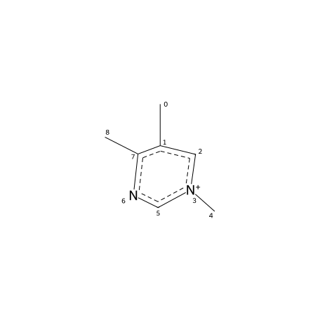 Cc1c[n+](C)cnc1C